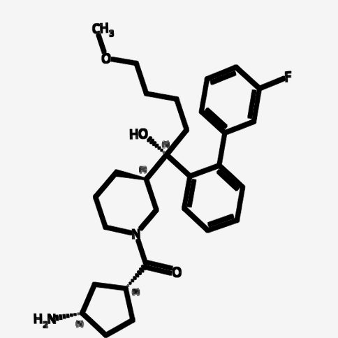 COCCCC[C@@](O)(c1ccccc1-c1cccc(F)c1)[C@@H]1CCCN(C(=O)[C@@H]2CC[C@H](N)C2)C1